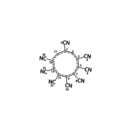 N#Cc1cc(C#N)c(C#N)c(C#N)c(C#N)c(C#N)c(C#N)c(C#N)c1